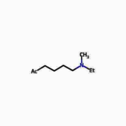 CCN(C)CCCCC(C)=O